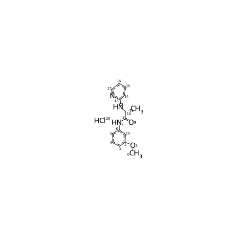 COc1cccc(NC(=O)[C@@H](C)Nc2ccccn2)c1.Cl